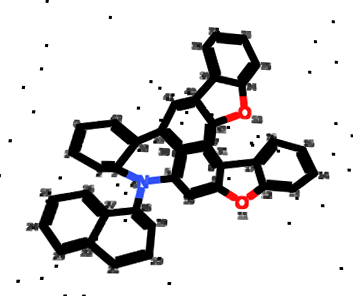 c1ccc(N(c2ccc3c(c2)oc2ccccc23)c2cccc3ccccc23)c(-c2ccc3oc4ccccc4c3c2)c1